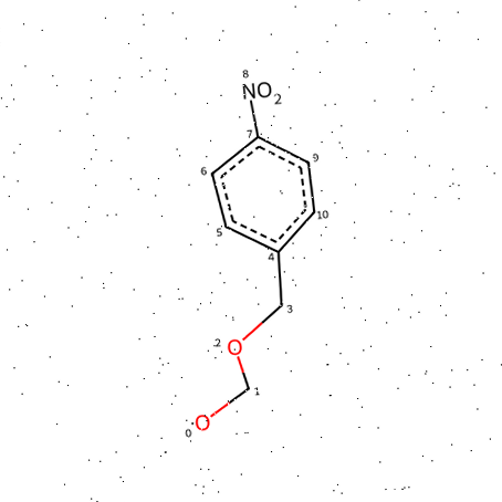 [O]COCc1ccc([N+](=O)[O-])cc1